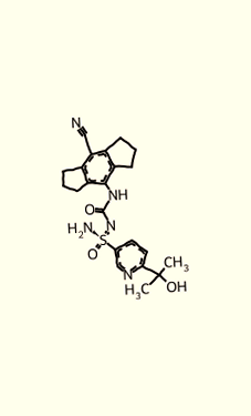 CC(C)(O)c1ccc([S@](N)(=O)=NC(=O)Nc2c3c(c(C#N)c4c2CCC4)CCC3)cn1